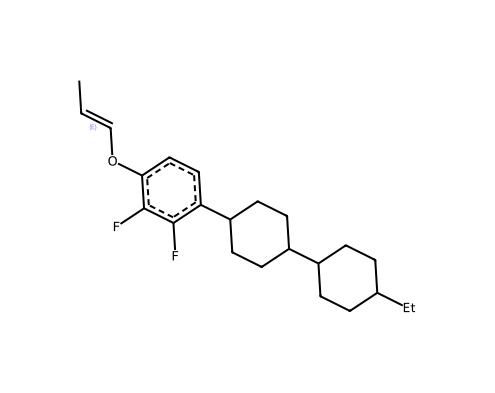 C/C=C/Oc1ccc(C2CCC(C3CCC(CC)CC3)CC2)c(F)c1F